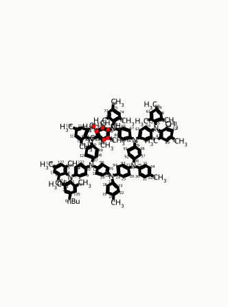 CCCCc1cc(C)c(N(c2ccc(N(c3ccc(N(c4ccc(C)cc4)c4ccc(N(c5ccc(C)cc5)c5ccc(N(c6ccc(N(c7c(C)cc(C)cc7C)c7c(C)cc(C)cc7C)cc6)c6ccc(N(c7c(C)cc(C)cc7C)c7c(C)cc(C)cc7C)cc6)cc5)cc4)cc3)c3ccc(N(c4c(C)cc(C)cc4C)c4c(C)cc(C)cc4C)cc3)cc2)c2c(C)cc(C)cc2C)c(C)c1